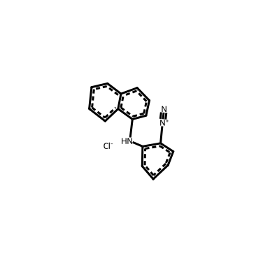 N#[N+]c1ccccc1Nc1cccc2ccccc12.[Cl-]